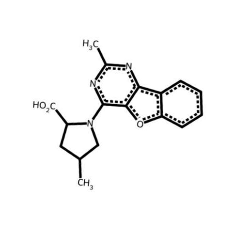 Cc1nc(N2CC(C)CC2C(=O)O)c2oc3ccccc3c2n1